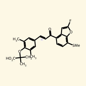 CSc1ccc(C(=O)/C=C/c2cc(C)c(OC(C)(C)C(=O)O)c(C)c2)c2cc(F)oc12